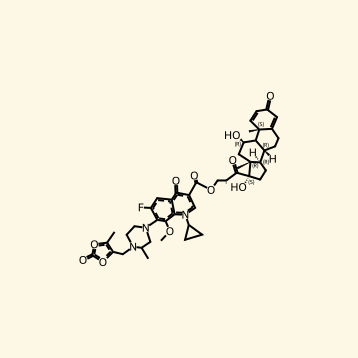 COc1c(N2CCN(Cc3oc(=O)oc3C)C(C)C2)c(F)cc2c(=O)c(C(=O)OC[CH]C(=O)[C@]3(O)CC[C@@H]4[C@H]5CCC6=CC(=O)C=C[C@@]6(C)C5[C@H](O)C[C@]43C)cn(C3CC3)c12